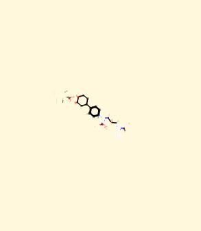 CC(=O)NCC1CN(c2ccc(C3CCC4OC(C)(C)OC4C3)c(F)c2)C(=O)O1